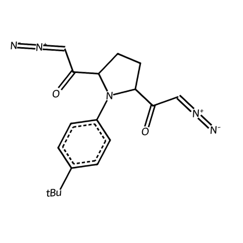 CC(C)(C)c1ccc(N2C(C(=O)C=[N+]=[N-])CCC2C(=O)C=[N+]=[N-])cc1